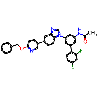 CC(=O)Nc1cc(-c2ccc(F)cc2F)cc(-n2cnc3cc(-c4ccc(OCc5ccccc5)nc4)ccc32)c1